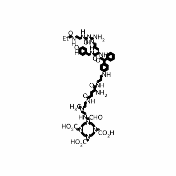 CCC(=O)NCCNC(=O)/N=C(/N)NCCC[C@@H](NC(=O)C(c1ccccc1)c1ccc(NCCCNC(=O)[C@H](N)CCC(=O)NCCN(C)CCNC(C=O)N2CCN(CC(=O)O)CCN(CC(=O)O)CCN(CC(=O)O)CC2)cc1)C(=O)NCc1ccc(O)cc1